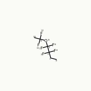 CCC(F)(F)C(F)(F)OC(C)(F)F